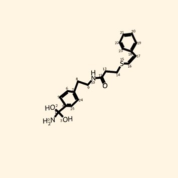 NC(O)(O)c1ccc(CCNC(=O)CCS/C=C\c2ccccc2)cc1